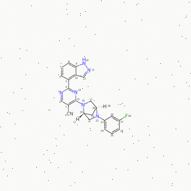 N#Cc1cnc(-c2cccc3[nH]ncc23)nc1N1C[C@@H]2C[C@@H]1CN2c1cccc(F)c1